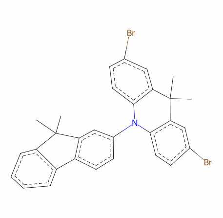 CC1(C)c2ccccc2-c2ccc(N3c4ccc(Br)cc4C(C)(C)c4cc(Br)ccc43)cc21